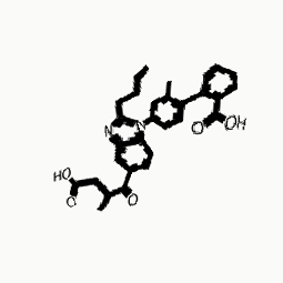 CCCCc1nc2cc(C(=O)C(C)CC(=O)O)ccc2n1-c1ccc(-c2ccccc2C(=O)O)c(C)c1